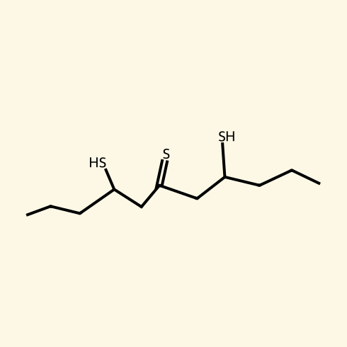 CCCC(S)CC(=S)CC(S)CCC